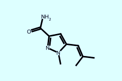 CC(C)=Cc1cc(C(N)=O)nn1C